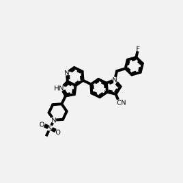 CS(=O)(=O)N1CCC(c2cc3c(-c4ccc5c(C#N)cn(Cc6cccc(F)c6)c5c4)ccnc3[nH]2)CC1